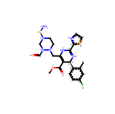 COC(=O)C1=C(CN2CCN(SN)CN2C=O)NC(c2nccs2)=N[C@H]1c1ccc(F)cc1C